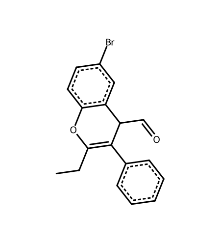 CCC1=C(c2ccccc2)C(C=O)c2cc(Br)ccc2O1